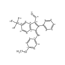 COc1ccc(/N=C2/C(c3ccccc3)=C(C=O)c3cc(C(F)(F)F)ccc32)cc1